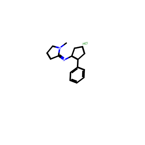 CN1CCCC1=NC1CCCC1c1ccccc1.Cl